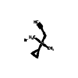 C#CC[N+](C)(C)C1CC1.[Br-]